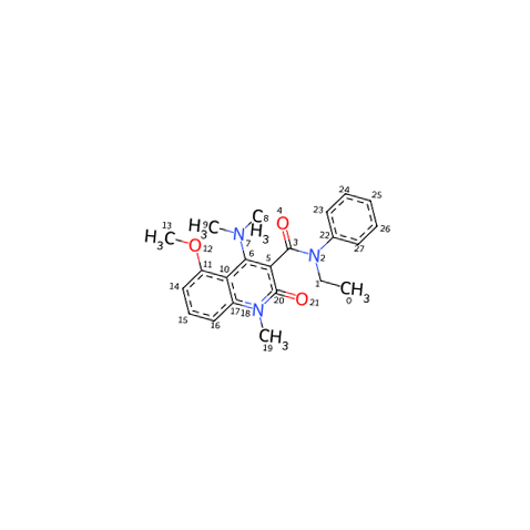 CCN(C(=O)c1c(N(C)C)c2c(OC)cccc2n(C)c1=O)c1ccccc1